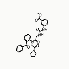 COC(=O)c1cccc(NC(=O)NCC(=O)N(CC(=O)N2CCCC2)c2ccccc2C(=O)c2ccccc2)c1